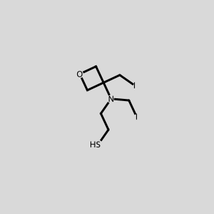 SCCN(CI)C1(CI)COC1